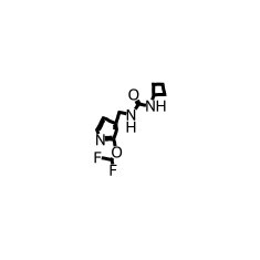 O=C(NCc1ccnc(OC(F)F)c1)NC1CCC1